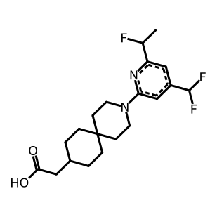 CC(F)c1cc(C(F)F)cc(N2CCC3(CCC(CC(=O)O)CC3)CC2)n1